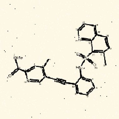 COC(=O)c1cc(C)c(C#Cc2ccccc2NS(=O)(=O)c2c(C)ccc3cccnc23)cn1